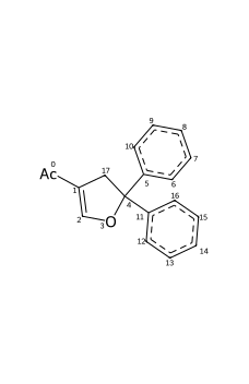 CC(=O)C1=COC(c2ccccc2)(c2ccccc2)C1